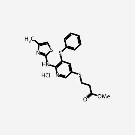 COC(=O)CCSc1cnc(Nc2nc(C)cs2)c(Sc2ccccc2)c1.Cl